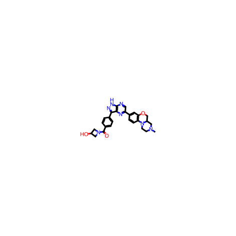 CN1CCN2c3ccc(-c4cnc5[nH]nc(-c6ccc(C(=O)N7CC(O)C7)cc6)c5n4)cc3OCC2C1